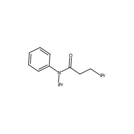 CC(C)CCC(=O)N(c1ccccc1)C(C)C